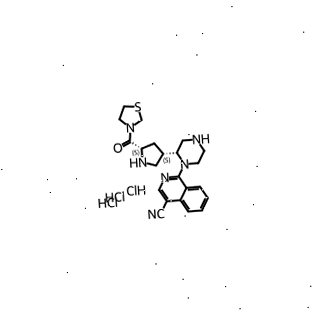 Cl.Cl.Cl.N#Cc1cnc(N2CCNCC2[C@@H]2CN[C@H](C(=O)N3CCSC3)C2)c2ccccc12